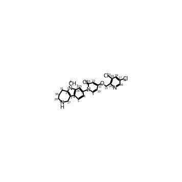 Cn1c2c(c3ccc(-n4ccc(OCc5ncc(Cl)cc5Cl)cc4=O)cc31)CNCCC2